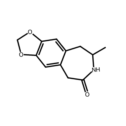 CC1Cc2cc3c(cc2CC(=O)N1)OCO3